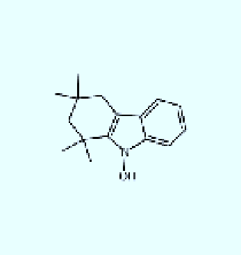 CC1(C)Cc2c(n(O)c3ccccc23)C(C)(C)C1